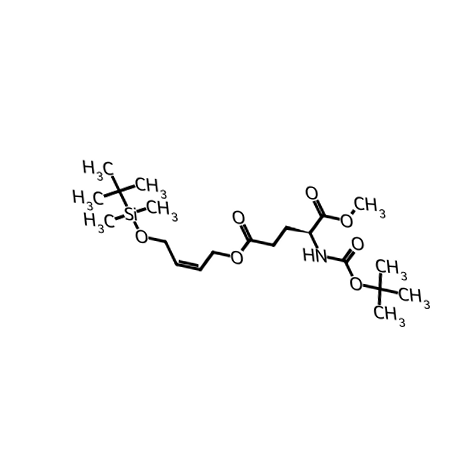 COC(=O)[C@H](CCC(=O)OC/C=C\CO[Si](C)(C)C(C)(C)C)NC(=O)OC(C)(C)C